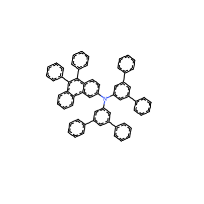 c1ccc(-c2cc(-c3ccccc3)cc(N(c3cc(-c4ccccc4)cc(-c4ccccc4)c3)c3ccc4c(-c5ccccc5)c(-c5ccccc5)c5ccccc5c4c3)c2)cc1